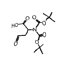 CC(C)(C)OC(=O)N(C(=O)OC(C)(C)C)C(CC=O)C(=O)O